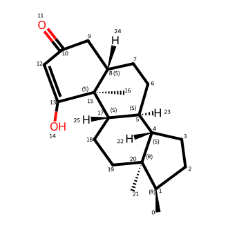 C[C@@H]1CC[C@H]2[C@@H]3CC[C@H]4CC(=O)C=C(O)[C@]4(C)[C@H]3CC[C@]12C